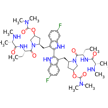 CC[C@H](NC(=O)[C@H](C)NC)C(=O)N1C[C@@H](OC(=O)N(C)C)C[C@H]1Cc1c(-c2[nH]c3cc(F)ccc3c2C[C@@H]2C[C@H](OC(=O)N(C)C)CN2C(=O)[C@H](CC)NC(=O)[C@H](C)NC)[nH]c2cc(F)ccc12